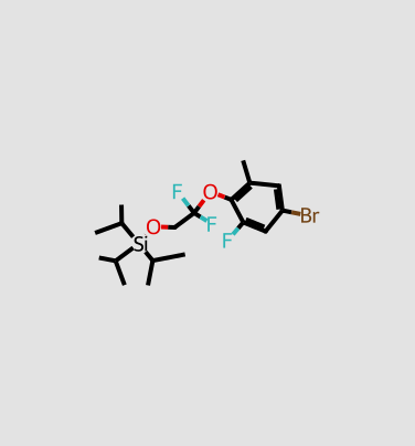 Cc1cc(Br)cc(F)c1OC(F)(F)CO[Si](C(C)C)(C(C)C)C(C)C